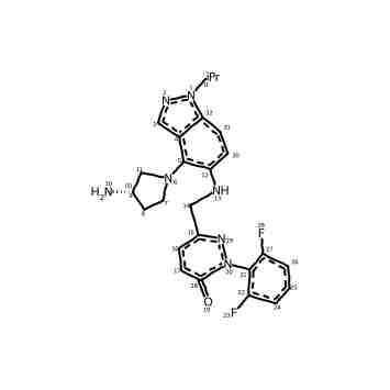 CC(C)n1ncc2c(N3CC[C@H](N)C3)c(NCc3ccc(=O)n(-c4c(F)cccc4F)n3)ccc21